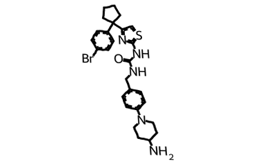 NC1CCN(c2ccc(CNC(=O)Nc3nc(C4(c5ccc(Br)cc5)CCCC4)cs3)cc2)CC1